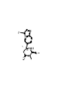 CN1C(=N)N[C@](C)(c2ccc3ncc(Br)n3c2)CC1=O